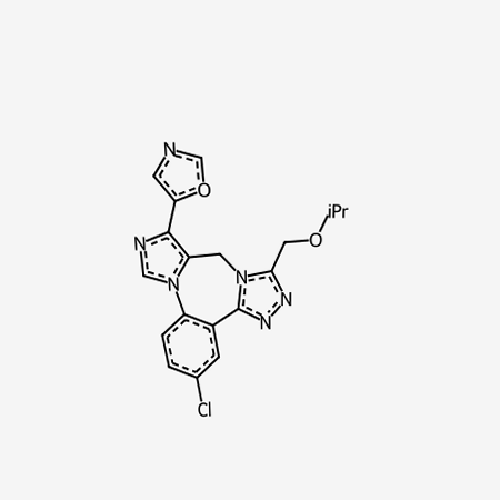 CC(C)OCc1nnc2n1Cc1c(-c3cnco3)ncn1-c1ccc(Cl)cc1-2